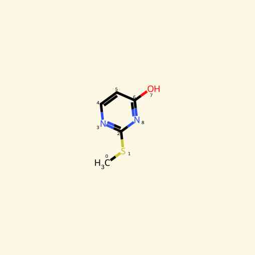 CSc1n[c]cc(O)n1